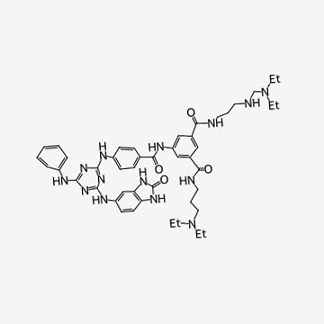 CCN(CC)CCCNC(=O)c1cc(NC(=O)c2ccc(Nc3nc(Nc4ccccc4)nc(Nc4ccc5[nH]c(=O)[nH]c5c4)n3)cc2)cc(C(=O)NCCCNCN(CC)CC)c1